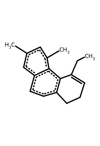 CCC1=CCCc2ccc3cc(C)cc(C)c3c21